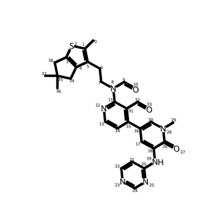 Cc1sc2c(c1CCN(C=O)c1nccc(-c3cc(Nc4ccncn4)c(=O)n(C)c3)c1C=O)CC(C)(C)C2